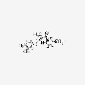 Cc1c(C=Cc2ccc(Cl)c(Cl)c2)nc2ccc(C(=O)O)cn2c1=O